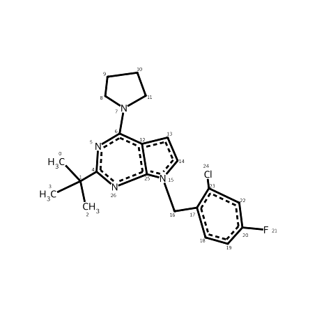 CC(C)(C)c1nc(N2CCCC2)c2ccn(Cc3ccc(F)cc3Cl)c2n1